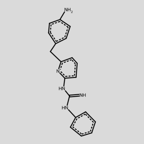 N=C(Nc1ccccc1)Nc1cccc(Cc2ccc(N)cc2)n1